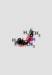 CC[C@H]1[C@@H](O)[C@@H]2[C@H](CC[C@]3(C)[C@@H]([C@H](C)COC(=O)NS(=O)(=O)c4ccc(C(C)(C)CF)cc4)CC[C@@H]23)[C@@]2(C)CCCC[C@@H]12